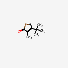 CC1=C(C(C)(C)C)CSC1=O